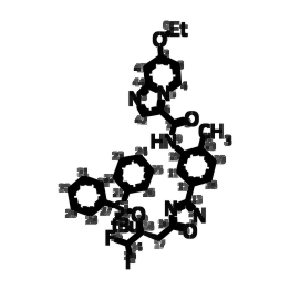 CCOc1ccn2c(C(=O)Nc3cc(-c4noc(C[C@H](O[Si](c5ccccc5)(c5ccccc5)C(C)(C)C)C(F)F)n4)ccc3C)cnc2c1